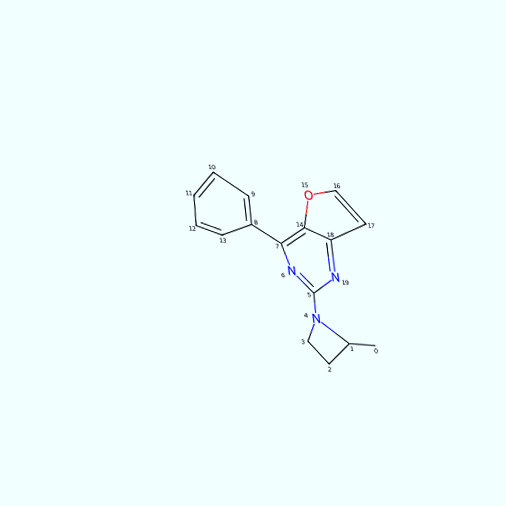 CC1CCN1c1nc(-c2ccccc2)c2occc2n1